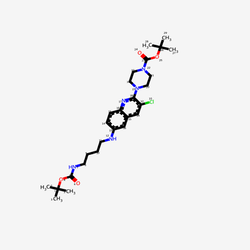 CC(C)(C)OC(=O)NCCCCNc1ccc2nc(N3CCN(C(=O)OC(C)(C)C)CC3)c(Cl)cc2c1